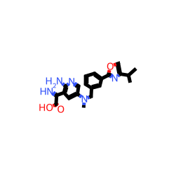 CC(C)c1coc(-c2cccc(CN(C)c3cnc(N)c(C(=N)C(=O)O)c3)c2)n1